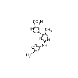 Cc1cc(Nc2ncc(C)c(-c3c[nH]c(C(=O)O)c3)n2)no1